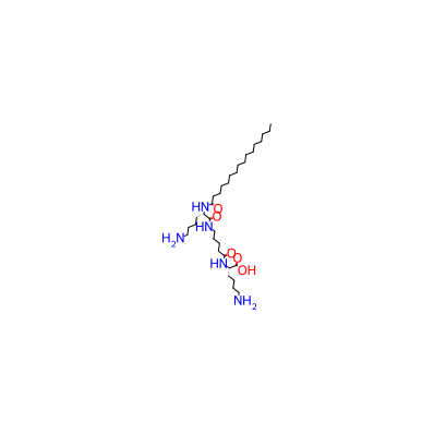 CCCCCCCCCCCCCCCC(=O)N[C@@H](CCCCN)C(=O)NCCCCC(=O)N[C@@H](CCCCN)C(=O)O